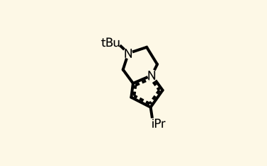 CC(C)c1cc2n(c1)CCN(C(C)(C)C)C2